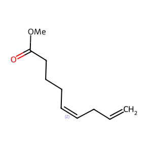 C=CC/C=C\CCCC(=O)OC